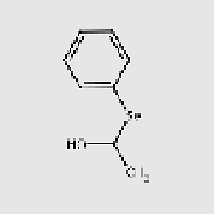 CC(O)[Se]c1ccccc1